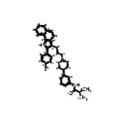 CC(C)C(=O)Nc1cccc(C2CCN(CCCc3c(-c4ccc(Br)cc4)[nH]c4c3ccc3ccccc34)CC2)c1